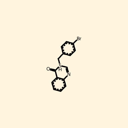 O=C1c2ccccc2N=C[SH]1Cc1ccc(Br)cc1